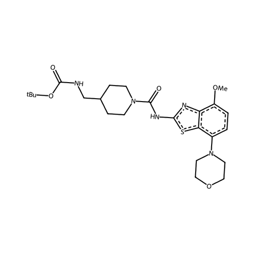 COc1ccc(N2CCOCC2)c2sc(NC(=O)N3CCC(CNC(=O)OC(C)(C)C)CC3)nc12